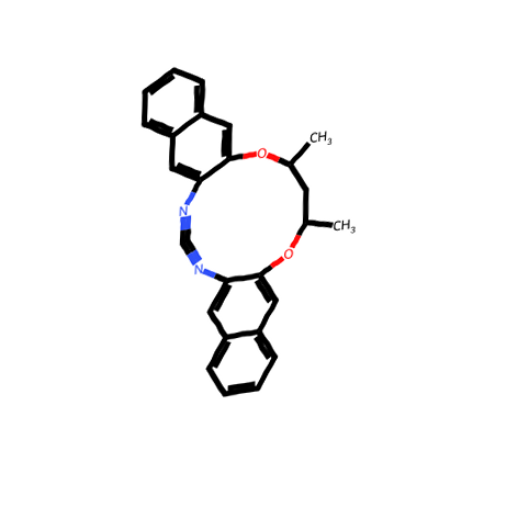 CC1CC(C)Oc2cc3ccccc3cc2N=C=Nc2cc3ccccc3cc2O1